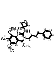 CCOc1cc([C@@H](C)N(CCCCc2ccccc2)C(=O)NC2(C(=O)O)COC2)cc(OCC)c1C(C)=O